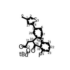 Cc1csc(-c2cccc(C(CC(=O)OC(C)(C)C)C(=O)c3c(F)cccc3F)c2)c1